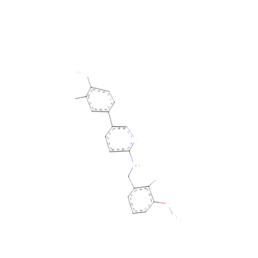 COc1ccc(-c2ccc(NCc3cccc(OC(F)(F)F)c3F)nc2)cc1C(=O)O